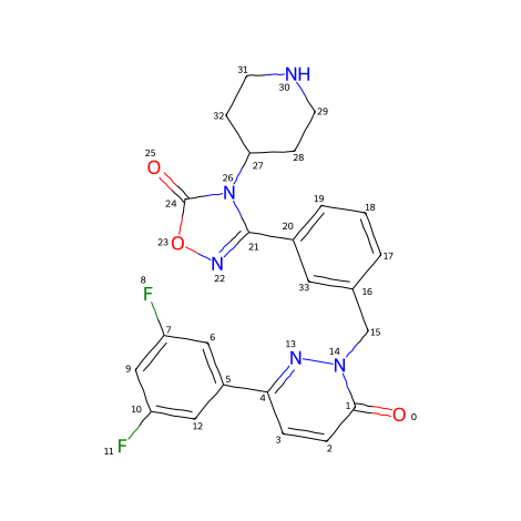 O=c1ccc(-c2cc(F)cc(F)c2)nn1Cc1cccc(-c2noc(=O)n2C2CCNCC2)c1